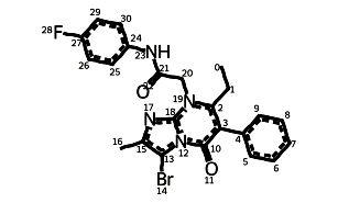 CCc1c(-c2ccccc2)c(=O)n2c(Br)c(C)nc2n1CC(=O)Nc1ccc(F)cc1